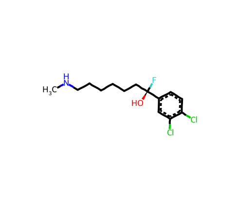 CNCCCCCC[C@](O)(F)c1ccc(Cl)c(Cl)c1